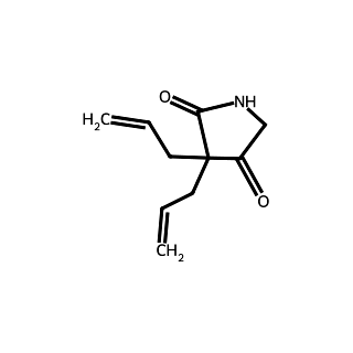 C=CCC1(CC=C)C(=O)CNC1=O